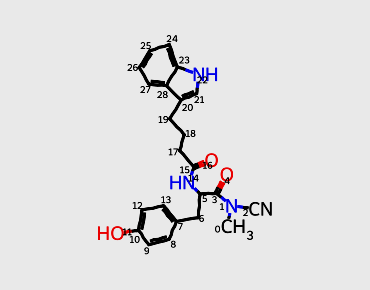 CN(C#N)C(=O)C(Cc1ccc(O)cc1)NC(=O)CCCc1c[nH]c2ccccc12